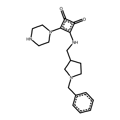 O=c1c(NCC2CCN(Cc3ccccc3)C2)c(N2CCNCC2)c1=O